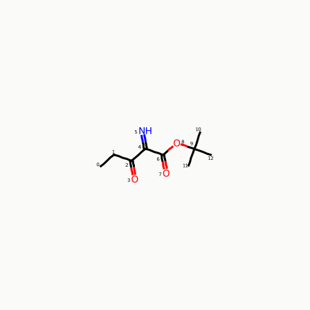 CCC(=O)C(=N)C(=O)OC(C)(C)C